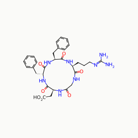 NC(N)=NCCC[C@@H]1NC(=O)[C@H](Cc2ccccc2)NC(=O)[C@@H](Cc2ccccc2)NC(=O)[C@H](CC(=O)O)NC(=O)CNC1=O